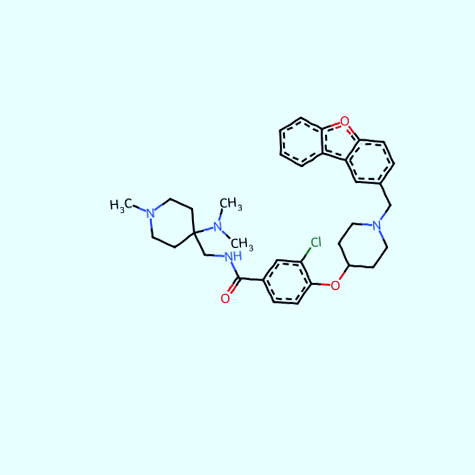 CN1CCC(CNC(=O)c2ccc(OC3CCN(Cc4ccc5oc6ccccc6c5c4)CC3)c(Cl)c2)(N(C)C)CC1